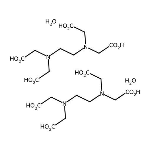 O.O.O=C(O)CN(CCN(CC(=O)O)CC(=O)O)CC(=O)O.O=C(O)CN(CCN(CC(=O)O)CC(=O)O)CC(=O)O